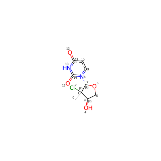 C[C@@]1(Cl)[C@H](O)CO[C@H]1n1ccc(=O)[nH]c1=O